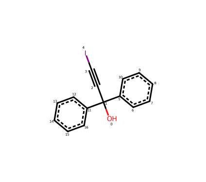 OC(C#CI)(c1ccccc1)c1ccccc1